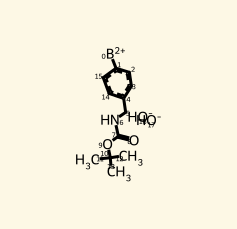 [B+2]c1ccc(CNC(=O)OC(C)(C)C)cc1.[OH-].[OH-]